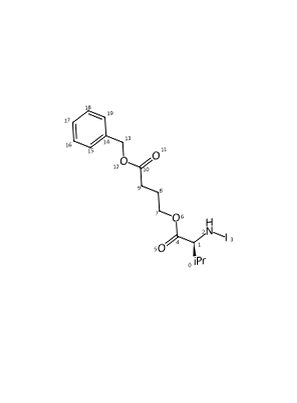 CC(C)[C@H](NI)C(=O)OCCCC(=O)OCc1ccccc1